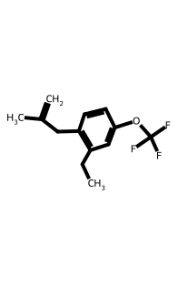 C=C(C)Cc1ccc(OC(F)(F)F)cc1CC